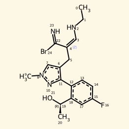 CCN/C=C(/Cc1cn(C)nc1-c1ccc(F)cc1[C@@H](C)O)C(=N)Br